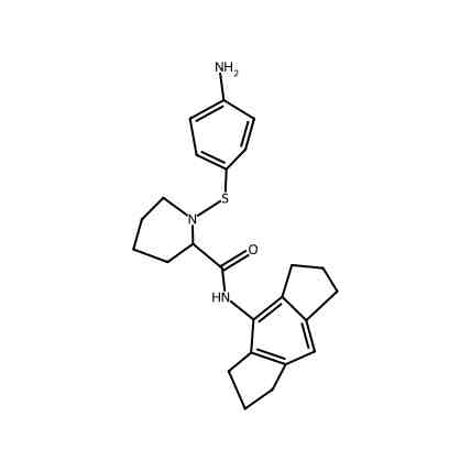 Nc1ccc(SN2CCCCC2C(=O)Nc2c3c(cc4c2CCC4)CCC3)cc1